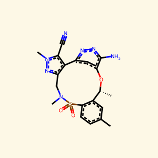 Cc1ccc2c(c1)[C@@H](C)Oc1cc(nnc1N)-c1c(nn(C)c1C#N)CN(C)S2(=O)=O